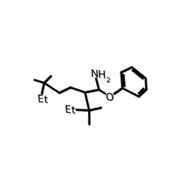 CCC(C)(C)CCC(C(N)Oc1ccccc1)C(C)(C)CC